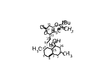 C[C@H]1CC2=CC[C@H](C)[C@H](CC[C@@H]3C[C@@H](O[Si](C)(C)C(C)(C)C)CC(=O)O3)[C@H]2[C@@H](O)C1